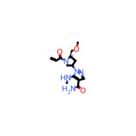 C=CC(=O)N1CC(n2ncc(C(N)=O)c2NC)C[C@@H]1COC